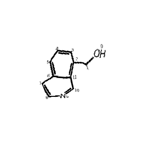 OCc1cccc2ccncc12